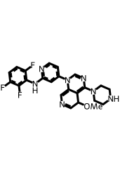 COC1C=NC=C2C1=C(N1CCNCC1)N=CN2c1ccnc(Nc2c(F)ccc(F)c2F)c1